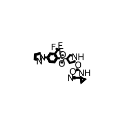 N#CC1(NC(=O)O[C@H]2C[C@@H](S(=O)(=O)c3ccc(-n4cccn4)cc3C(F)(F)F)CN2)CC1